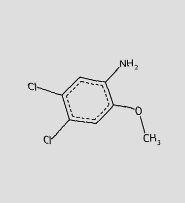 COc1cc(Cl)c(Cl)cc1N